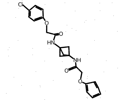 O=C(COc1ccccc1)NC12CC(NC(=O)COc3ccc(Cl)cc3)(C1)C2